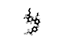 CCCc1nn(C)c2c(=O)[nH]c(-c3cc(OC4CCC(C(=O)NO)CC4)ccc3OCC)nc12